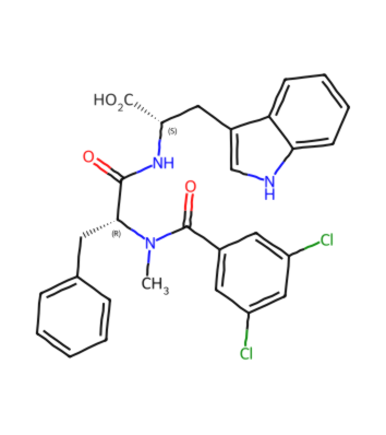 CN(C(=O)c1cc(Cl)cc(Cl)c1)[C@H](Cc1ccccc1)C(=O)N[C@@H](Cc1c[nH]c2ccccc12)C(=O)O